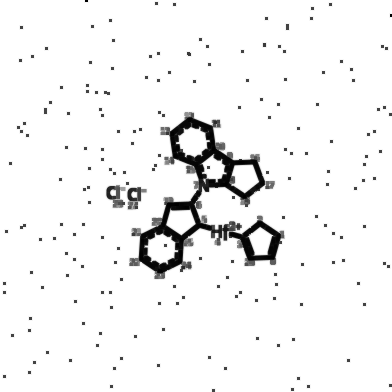 C1=CC[C]([Hf+2][CH]2C(n3c4c(c5ccccc53)CCC4)=Cc3ccccc32)=C1.[Cl-].[Cl-]